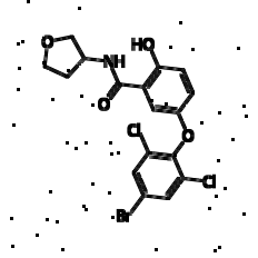 O=C(NC1CCOC1)c1cc(Oc2c(Cl)cc(Br)cc2Cl)ccc1O